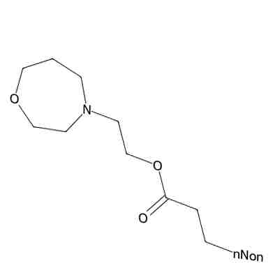 CCCCCCCCCCCC(=O)OCCN1CCCOCC1